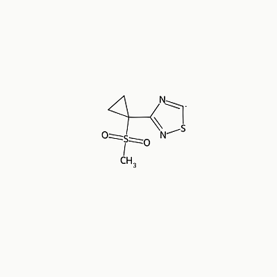 CS(=O)(=O)C1(c2n[c]sn2)CC1